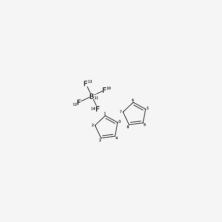 C1=CCC=C1.C1=CCC=C1.F[B-](F)(F)F